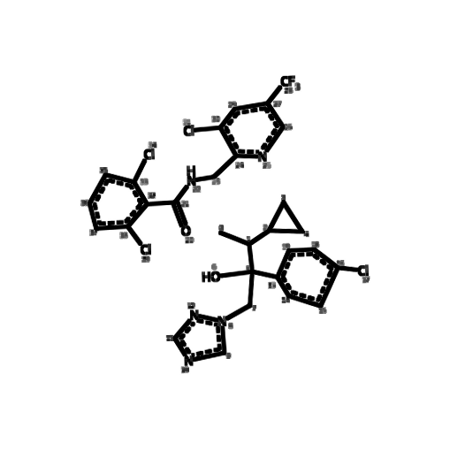 CC(C1CC1)C(O)(Cn1cncn1)c1ccc(Cl)cc1.O=C(NCc1ncc(C(F)(F)F)cc1Cl)c1c(Cl)cccc1Cl